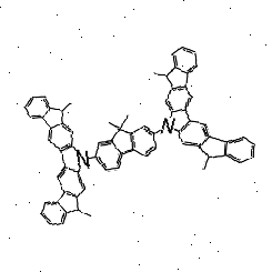 CC1c2ccccc2-c2cc3c4cc5c(cc4n(-c4ccc6c(c4)C(C)(C)c4cc(-n7c8cc9c(cc8c8cc%10c(cc87)C(C)c7ccccc7-%10)-c7ccccc7C9C)ccc4-6)c3cc21)C(C)c1ccccc1-5